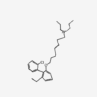 CCCN(CCC)CCCCCCCOc1cccc(CC)c1-c1ccccc1Cl